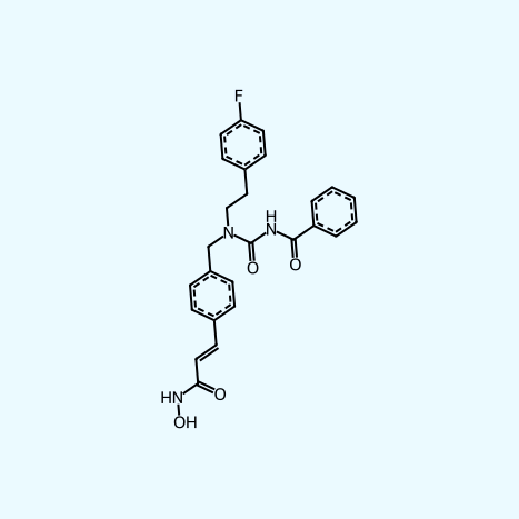 O=C(/C=C/c1ccc(CN(CCc2ccc(F)cc2)C(=O)NC(=O)c2ccccc2)cc1)NO